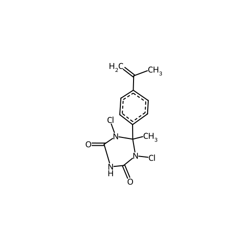 C=C(C)c1ccc(C2(C)N(Cl)C(=O)NC(=O)N2Cl)cc1